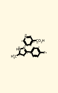 CC1CC(c2ccc(F)cc2)=NN1.O=C(O)c1cccnc1